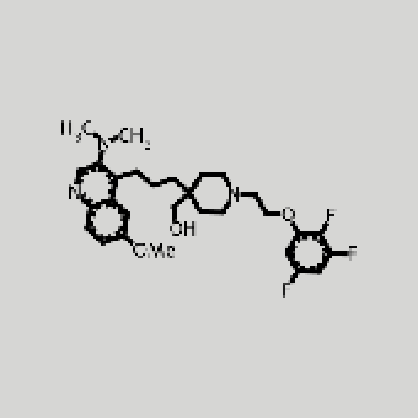 COc1ccc2ncc(N(C)C)c(CCCC3(CO)CCN(CCOc4cc(F)cc(F)c4F)CC3)c2c1